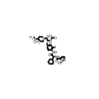 CCC(=O)N[C@H](Cc1ccc(NC(=O)[C@@H](NC(=O)c2ccnn2CC)C2CCCCC2)c(F)c1)C(=O)N1CCC(N(C)C)CC1